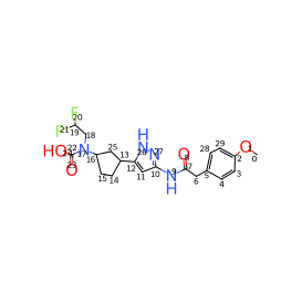 COc1ccc(CC(=O)Nc2cc(C3CCC(N(CC(F)F)C(=O)O)C3)[nH]n2)cc1